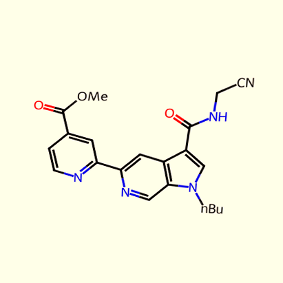 CCCCn1cc(C(=O)NCC#N)c2cc(-c3cc(C(=O)OC)ccn3)ncc21